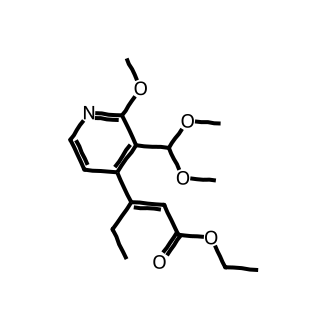 CCOC(=O)C=C(CC)c1ccnc(OC)c1C(OC)OC